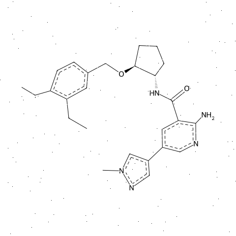 CCc1ccc(CO[C@H]2CCC[C@@H]2NC(=O)c2cc(-c3cnn(C)c3)cnc2N)cc1CC